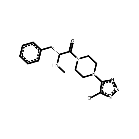 CN[C@H](Cc1ccccc1)C(=O)N1CCN(c2nsnc2Cl)CC1